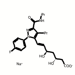 CC(C)NC(=O)c1nn(-c2ccc(F)cc2)c(C=C[C@H](O)C[C@@H](O)CC(=O)[O-])c1C(C)C.[Na+]